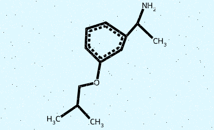 CC(C)COc1cccc(C(C)N)c1